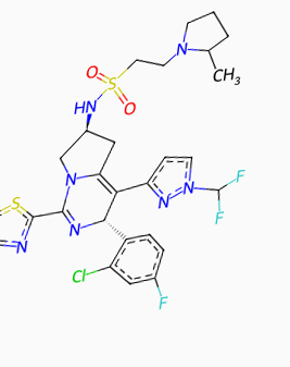 CC1CCCN1CCS(=O)(=O)N[C@H]1CC2=C(c3ccn(C(F)F)n3)[C@H](c3ccc(F)cc3Cl)N=C(c3nccs3)N2C1